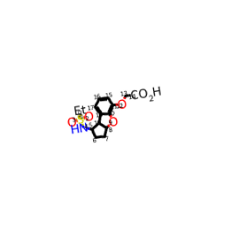 CCS(=O)(=O)NC1CCC2Oc3c(OCC(=O)O)cccc3C12